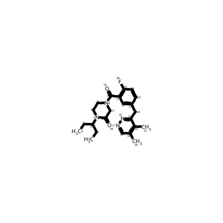 CCC(CC)N1CCN(C(=O)c2cc(Cc3nncc(C)c3C)ccc2F)CC1=O